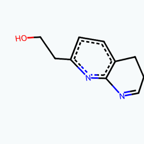 OCCc1ccc2c(n1)N=CCC2